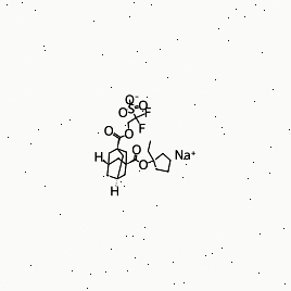 CCC1(OC(=O)[C@@]23C[C@@H]4C[C@@H](C[C@](C(=O)OCC(F)(F)S(=O)(=O)[O-])(C4)C2)C3)CCCC1.[Na+]